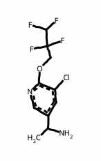 CC(N)c1cnc(OCC(F)(F)C(F)F)c(Cl)c1